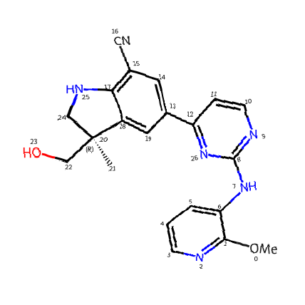 COc1ncccc1Nc1nccc(-c2cc(C#N)c3c(c2)[C@@](C)(CO)CN3)n1